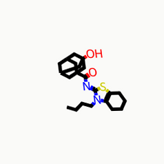 CCCCn1c2c(s/c1=N\C(=O)C13CC4CC(CC(O)(C4)C1)C3)CCCC2